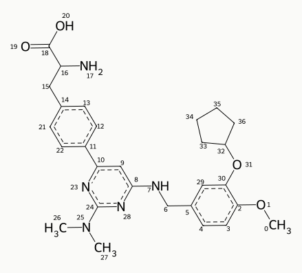 COc1ccc(CNc2cc(-c3ccc(CC(N)C(=O)O)cc3)nc(N(C)C)n2)cc1OC1CCCC1